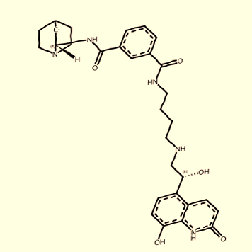 O=C(NCCCCNC[C@H](O)c1ccc(O)c2[nH]c(=O)ccc12)c1cccc(C(=O)N[C@H]2[CH]C3CCN2CC3)c1